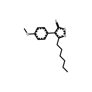 CCCCCCc1ssc(=S)c1-c1ccc(OC)cc1